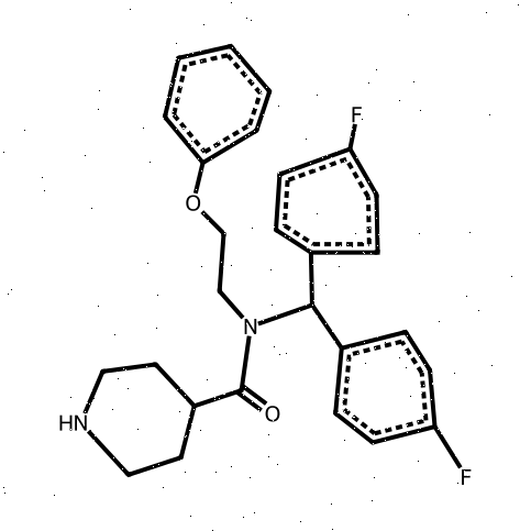 O=C(C1CCNCC1)N(CCOc1ccccc1)C(c1ccc(F)cc1)c1ccc(F)cc1